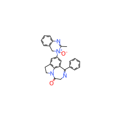 CC1=Nc2ccccc2C[N+]1([O-])c1cc2c3c(c1)C(c1ccccc1)=NCC(=O)N3CC2